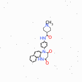 CN1CCC(C(=O)Nc2ccc(N3C(=O)CC(=O)Nc4c3ccc3ccccc43)cc2)CC1